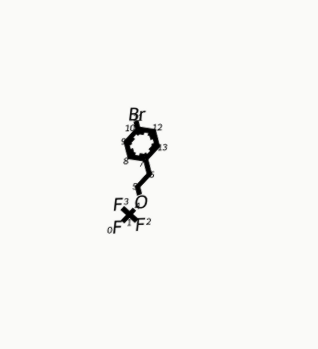 FC(F)(F)OCCc1ccc(Br)cc1